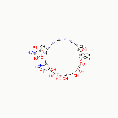 C[C@@H]1OC(=O)CC(O)CC(O)CCC(O)C(O)CC(O)CC2(O)C[C@@H]3OC(=O)NC3[C@H](CC(OC3O[C@H](C)C(O)[C@H](N)[C@@H]3O)/C=C/C=C/C=C/C=C/C=C/C=C/C=C/[C@H](C)C(O)[C@H]1C)O2